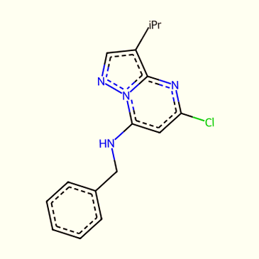 CC(C)c1cnn2c(NCc3ccccc3)cc(Cl)nc12